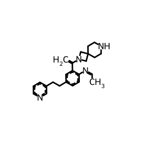 C=C(c1cc(CCc2cccnc2)ccc1/N=C\C)N1CC2(CCNCC2)C1